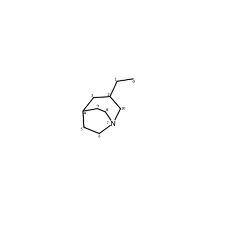 CCC1CC2CCN(CC2)C1